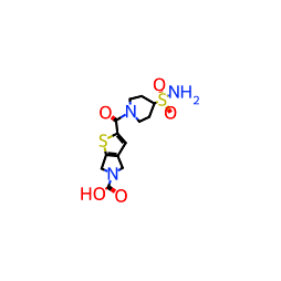 NS(=O)(=O)C1CCN(C(=O)c2cc3c(s2)CN(C(=O)O)C3)CC1